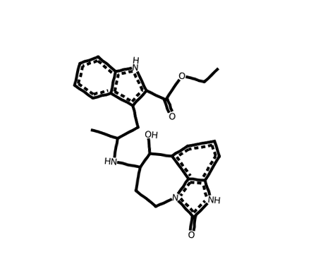 CCOC(=O)c1[nH]c2ccccc2c1CC(C)NC1CCn2c(=O)[nH]c3cccc(c32)C1O